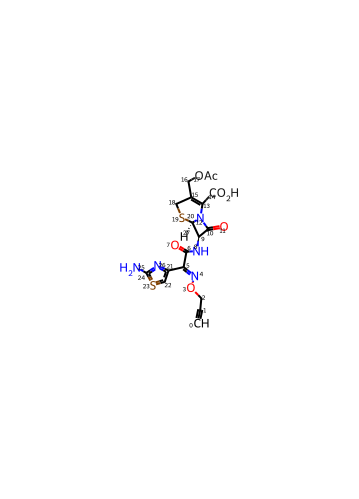 C#CCON=C(C(=O)N[C@@H]1C(=O)N2C(C(=O)O)=C(COC(C)=O)CS[C@H]12)c1csc(N)n1